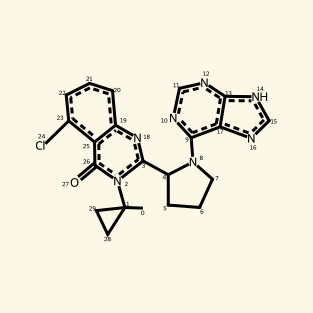 CC1(n2c(C3CCCN3c3ncnc4[nH]cnc34)nc3cccc(Cl)c3c2=O)CC1